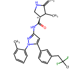 C=C1NC[C@H](C(=O)Nc2cc(-c3cccc(CC(C)(F)F)c3)n(-c3ccccc3C)n2)C1C